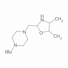 CC1NC(CN2CCN(C(C)(C)C)CC2)OC1C